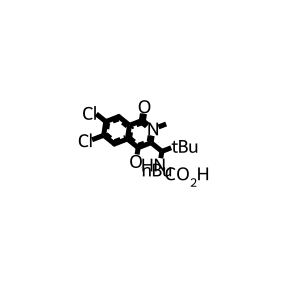 CCCCOc1c(C(NC(=O)O)C(C)(C)C)n(C)c(=O)c2cc(Cl)c(Cl)cc12